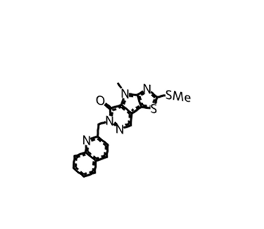 CSc1nc2c(s1)c1cnn(Cc3ccc4ccccc4n3)c(=O)c1n2C